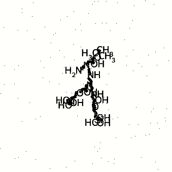 CC(C)(C)OCC(O)CN(CCN)CCNCCN(CCNCC(O)COCCC[Si](O)(O)O)CC(O)COCCC[Si](O)(O)O